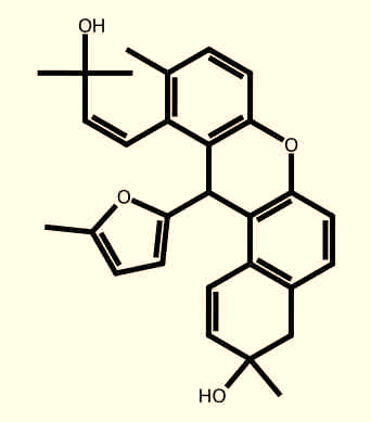 Cc1ccc(C2c3c(ccc4c3C=CC(C)(O)C4)Oc3ccc(C)c(/C=C\C(C)(C)O)c32)o1